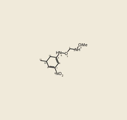 CONCONC1=CC([N+](=O)[O-])=CC(C)C1